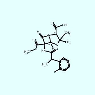 COC(=O)C1(NC(=O)C(N)c2ccccc2I)C(=O)N2[C@@H](C(=O)O)C(C)(C)S[C@@H]21